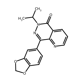 CC(C)n1nc(-c2ccc3c(c2)OCO3)c2ncccc2c1=O